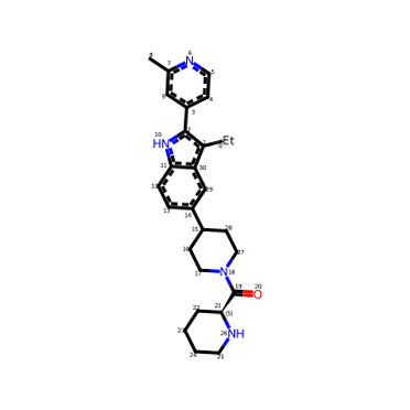 CCc1c(-c2ccnc(C)c2)[nH]c2ccc(C3CCN(C(=O)[C@@H]4CCCCN4)CC3)cc12